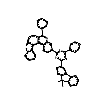 CC1(C)c2ccccc2-c2cc(-c3nc(-c4ccccc4)nc(-c4ccc5c(c4)nc(-c4ccccc4)c4ccc6sc7ccccc7c6c45)n3)ccc21